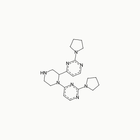 c1cc(C2CNCCN2c2ccnc(N3CCCC3)n2)nc(N2CCCC2)n1